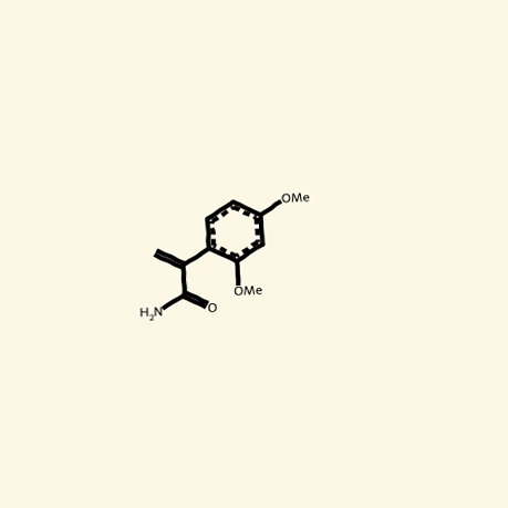 C=C(C(N)=O)c1ccc(OC)cc1OC